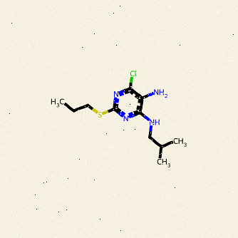 CCCSc1nc(Cl)c(N)c(NCC(C)C)n1